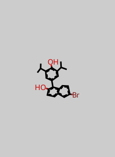 CC(C)c1cc(-c2c(O)ccc3cc(Br)ccc23)cc(C(C)C)c1O